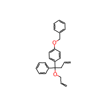 C=CCOC(CC=C)(c1ccccc1)c1ccc(OCc2ccccc2)cc1